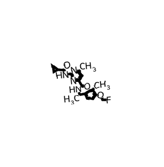 Cc1cc(C(=O)NC(C)c2ccc(OCF)c(C)c2)nc(NC(=O)C2CC2)n1